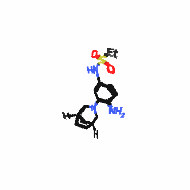 CCS(=O)(=O)Nc1ccc(N)c(N2C[C@H]3CC[C@@H](C2)C32CC2)c1